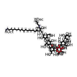 CCCCCCCC/C=C\CCCCCCCCCCCCCCCC(=O)N[C@@H](CO[C@@H]1OC(CO)[C@@H](O[C@@H]2OC(CO)[C@H](O[C@@H]3OC(CO)[C@H](O[C@@H]4OC(CO)[C@H](O)[C@H](O[C@@H]5OC(CO)[C@H](O)[C@H](O[C@H]6C(O)[C@H](O)C(C)O[C@H]6O)C5O)C4NC(C)=O)[C@H](O[C@@H]4OC(CO)[C@H](O)[C@H](O)C4NC(C)=O)C3O)[C@H](O)C2O)[C@H](O)C1O)[C@H](O)/C=C/CCCCCCCCCCCCC